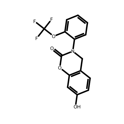 O=C1Oc2cc(O)ccc2CN1c1ccccc1OC(F)(F)F